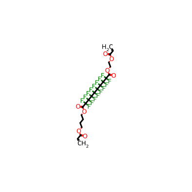 C=CC(=O)OCCCCOC(=O)C(F)(F)C(F)(F)C(F)(F)C(F)(F)C(F)(F)C(F)(F)C(F)(F)C(F)(F)C(=O)OCCOC(=O)C=C